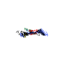 Cc1ncsc1-c1ccc(CCNC(=O)[C@@H]2C[C@H](O)CN2C(=O)[C@@H](NC(=O)CNC(=O)c2ccc(N3CCNCC3)cc2)C(C)(C)C)cc1.Cl